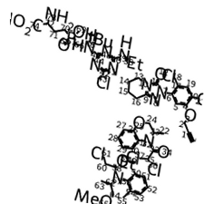 C#CCOc1cc(-n2nc3n(c2=O)CCCC3)c(Cl)cc1Cl.CC1COc2ccccc2N1C(=O)C(Cl)Cl.CCNc1nc(Cl)nc(NC(C)(C)C)n1.CCc1cccc(C)c1N(C(=O)CCl)C(C)COC.CP(=O)(O)CCC(N)C(=O)O